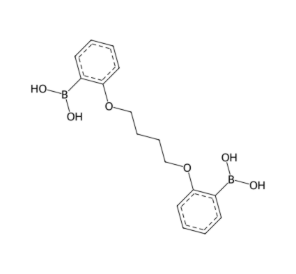 OB(O)c1ccccc1OCCCCOc1ccccc1B(O)O